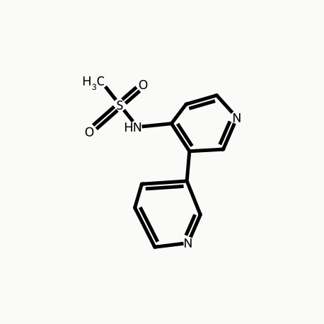 CS(=O)(=O)Nc1ccncc1-c1cccnc1